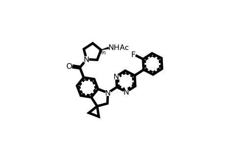 CC(=O)N[C@@H]1CCN(C(=O)c2ccc3c(c2)N(c2ncc(-c4ccccc4F)cn2)CC32CC2)C1